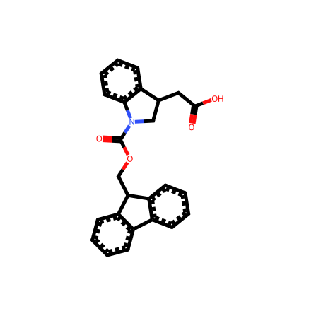 O=C(O)CC1CN(C(=O)OCC2c3ccccc3-c3ccccc32)c2ccccc21